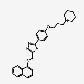 c1ccc2c(SCc3nnc(-c4ccc(OCCCN5CCCCC5)cc4)o3)cccc2c1